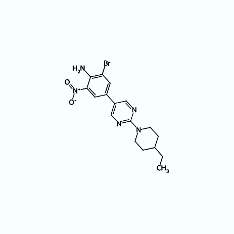 CCC1CCN(c2ncc(-c3cc(Br)c(N)c([N+](=O)[O-])c3)cn2)CC1